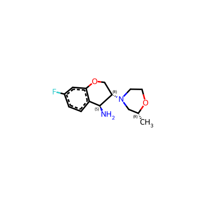 C[C@@H]1CN([C@H]2COc3cc(F)ccc3[C@@H]2N)CCO1